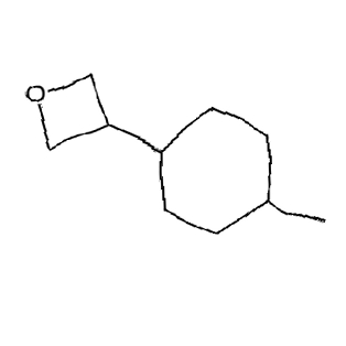 CC1CCC(C2COC2)CC1